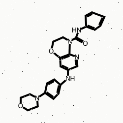 O=C(Nc1ccccc1)N1CCOc2cc(Nc3ccc(N4CCOCC4)cc3)cnc21